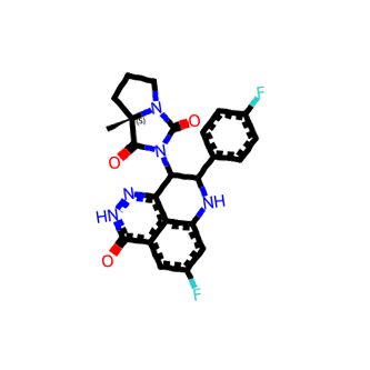 C[C@@]12CCCN1C(=O)N(C1c3n[nH]c(=O)c4cc(F)cc(c34)NC1c1ccc(F)cc1)C2=O